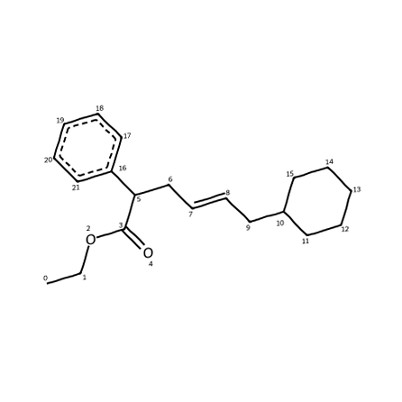 CCOC(=O)C(C/C=C/CC1CCCCC1)c1ccccc1